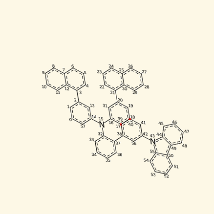 c1cc(-c2cccc3ccccc23)cc(N(c2cccc(-c3cccc4ccccc34)c2)c2ccccc2-c2cccc(-n3c4ccccc4c4ccccc43)c2)c1